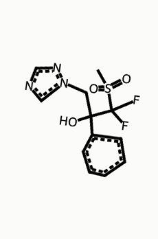 CS(=O)(=O)C(F)(F)C(O)(Cn1cncn1)c1ccccc1